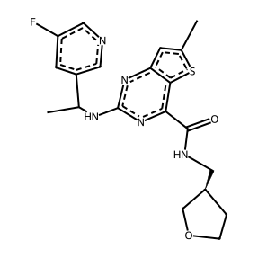 Cc1cc2nc(NC(C)c3cncc(F)c3)nc(C(=O)NC[C@H]3CCOC3)c2s1